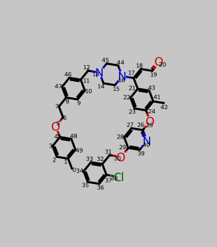 Cc1ccc(OCCc2ccc(CN3CCN(/C(=C/C=O)c4ccc(Oc5ccc(OCc6ccccc6Cl)cn5)c(C)c4)CC3)cc2)cc1